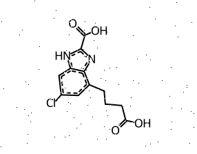 O=C(O)CCCc1cc(Cl)cc2[nH]c(C(=O)O)nc12